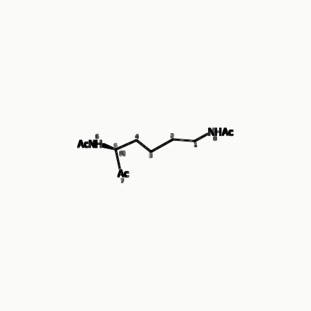 CC(=O)NCCCC[C@H](NC(C)=O)C(C)=O